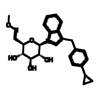 CON=C[C@H]1O[C@@H](n2cc(Cc3ccc(C4CC4)cc3)c3ccccc32)[C@H](O)[C@@H](O)[C@@H]1O